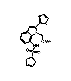 COCn1c(-c2nccs2)cc2cccc(NS(=O)(=O)C3CC=CS3)c21